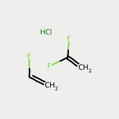 C=C(F)F.C=CF.Cl